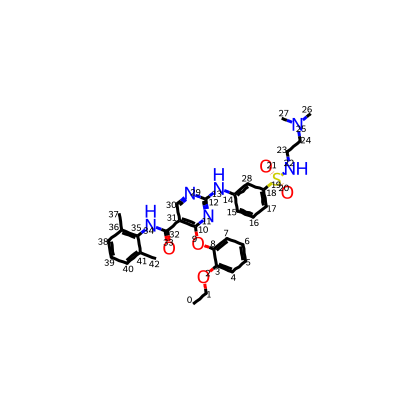 CCOc1ccccc1Oc1nc(Nc2cccc(S(=O)(=O)NCCN(C)C)c2)ncc1C(=O)Nc1c(C)cccc1C